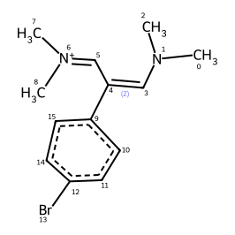 CN(C)/C=C(\C=[N+](C)C)c1ccc(Br)cc1